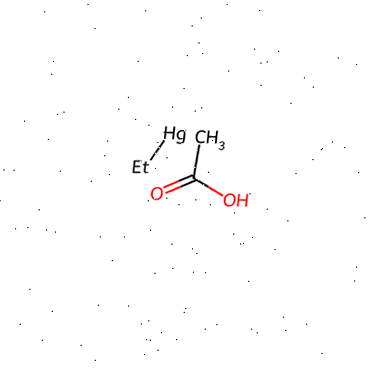 CC(=O)O.C[CH2][Hg]